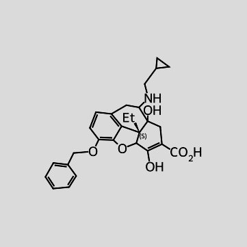 CC[C@]12c3c4ccc(OCc5ccccc5)c3OC1C(O)=C(C(=O)O)CC2(O)C(NCC1CC1)C4